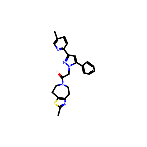 Cc1ccc(-c2cc(-c3ccccc3)n(CC(=O)N3CCc4nc(C)sc4CC3)n2)nc1